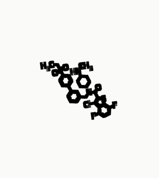 CCS(=O)(=O)c1ccc(-c2cccc(CN(C(=O)c3sc4c(F)ccc(F)c4c3Cl)[C@H]3CC[C@H](NC)CC3)c2)cc1